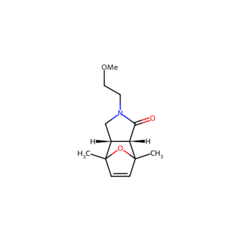 COCCN1C[C@@H]2[C@H](C1=O)C1(C)C=CC2(C)O1